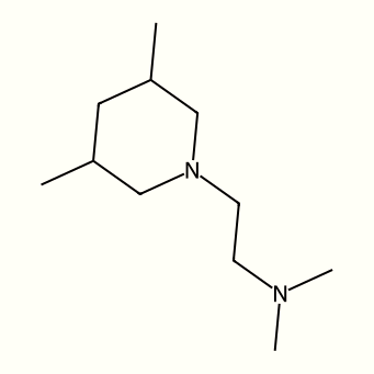 CC1CC(C)CN(CCN(C)C)C1